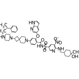 CC(C)c1ccccc1[C@H]1CNCCN1C1CC2(CCN(c3ccc(C(=O)NS(=O)(=O)c4cnc(NCC5CCC(C)(O)CC5)c([N+](=O)[O-])c4)c(Oc4cnc5[nH]ccc5c4)c3)CC2)C1